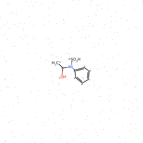 CC(O)N(c1ccccc1)S(=O)(=O)O